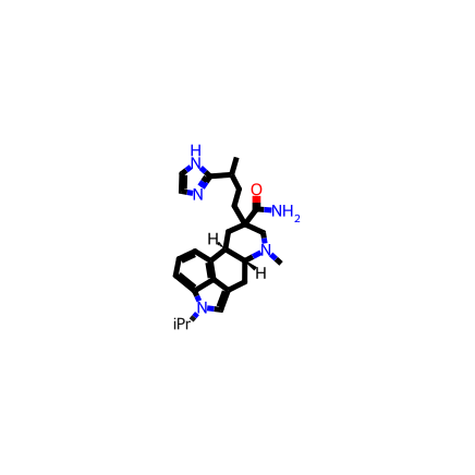 CC(CCC1(C(N)=O)C[C@@H]2c3cccc4c3c(cn4C(C)C)C[C@H]2N(C)C1)c1ncc[nH]1